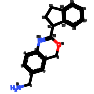 NCc1ccc2c(c1)COC([C]1CCc3ccccc31)=N2